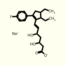 CCC1CC(c2ccc(F)cc2)=C(/C=C/C(O)CC(O)CC(=O)[O-])C1CC.[Na+]